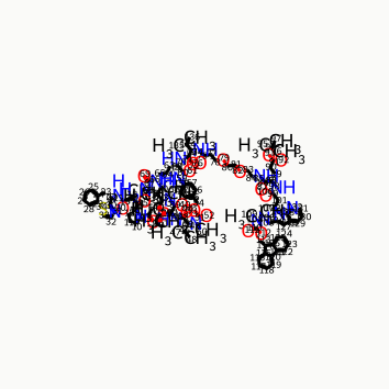 CC[C@H](C)[C@@H]([C@@H](CC(=O)N1CCC[C@H]1[C@H](OC)[C@@H](C)C(=O)N[C@@H](Cc1ccccc1)c1nccs1)OC)N(C)C(=O)[C@@H](NC(=O)[C@H](C(C)C)N(C)C(=O)OCc1ccc(NC(=O)[C@H](CCCNC(N)=O)NC(=O)[C@@H](NC(=O)CCOCCOCCNC(=O)[C@H](CCC(=O)OC(C)(C)C)NC(=O)CCn2c(CN(C)N(C)C(=O)OCC3c4ccccc4-c4ccccc43)cc3cccnc32)C(C)C)cc1)C(C)C